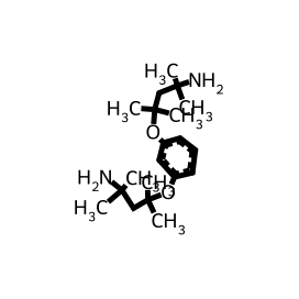 CC(C)(N)CC(C)(C)Oc1cccc(OC(C)(C)CC(C)(C)N)c1